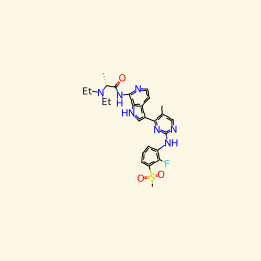 CCN(CC)[C@H](C)C(=O)Nc1nccc2c(-c3nc(Nc4cccc(S(C)(=O)=O)c4F)ncc3C)c[nH]c12